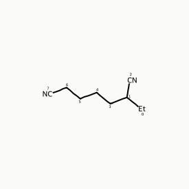 CCC(C#N)[CH]CCCC#N